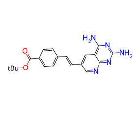 CC(C)(C)OC(=O)c1ccc(C=Cc2cnc3nc(N)nc(N)c3c2)cc1